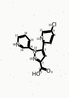 O=C(O)c1cc(-c2ccc(Cl)cn2)n(-c2cccnc2)n1